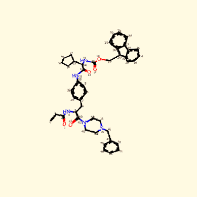 CCC(=O)NC(Cc1ccc(NC(=O)C(NC(=O)OCC2c3ccccc3-c3ccccc32)C2CCCC2)cc1)C(=O)N1CCN(Cc2ccccc2)CC1